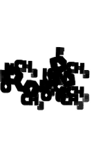 COC(C)(C)[C@H]1CC[C@@H](C2(C)C=C(F)C=CC2)N1C(=O)CNC(=O)c1ccc(Cc2cc(C)n[nH]c2=O)c(C)c1